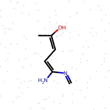 C=N/C(N)=C\C=C(/C)O